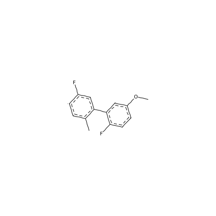 COc1ccc(F)c(-c2cc(F)[c]cc2C)c1